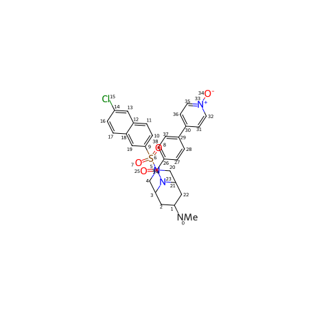 CNC1CC2CN(S(=O)(=O)c3ccc4cc(Cl)ccc4c3)CC(C1)N2C(=O)c1ccc(-c2cc[n+]([O-])cc2)cc1